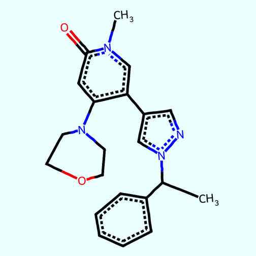 CC(c1ccccc1)n1cc(-c2cn(C)c(=O)cc2N2CCOCC2)cn1